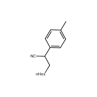 CCCCCCCC(C#N)c1ccc(C)cc1